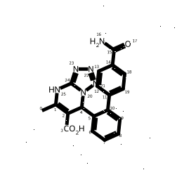 CC1=C(C(=O)O)C(c2ccccc2-c2ccc(C(N)=O)cc2)n2nnnc2N1